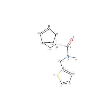 CN(Cc1cccs1)C(=O)[C@@H]1CC2C=CC1C2